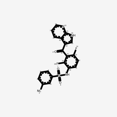 N#Cc1cccc(S(=O)(=O)Nc2ccc(F)c(C(=O)c3c[nH]c4ncccc34)c2F)c1